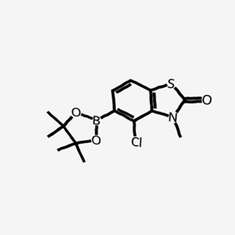 Cn1c(=O)sc2ccc(B3OC(C)(C)C(C)(C)O3)c(Cl)c21